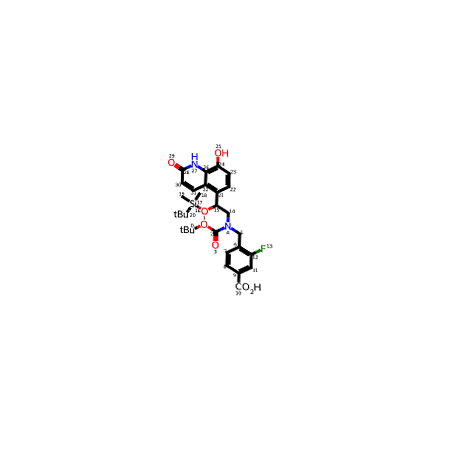 CC(C)(C)OC(=O)N(Cc1ccc(C(=O)O)cc1F)CC(O[Si](C)(C)C(C)(C)C)c1ccc(O)c2[nH]c(=O)ccc12